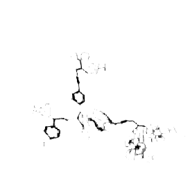 CC(=O)OC(CC[C@H]1C(=O)N(c2ccc(C#CCC(CNS(C)(=O)=O)CNS(C)(=O)=O)cc2)[C@@H]1c1ccc(C#CCC(CO)CO)cc1)c1ccc(F)cc1